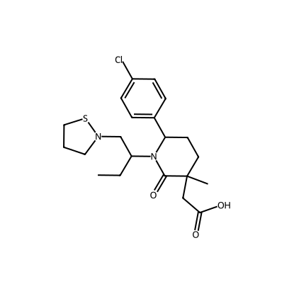 CCC(CN1CCCS1)N1C(=O)C(C)(CC(=O)O)CCC1c1ccc(Cl)cc1